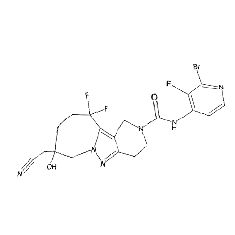 N#CCC1(O)CCC(F)(F)c2c3c(nn2C1)CCN(C(=O)Nc1ccnc(Br)c1F)C3